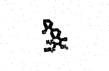 CCOC(=O)C(C)C(C)C(=O)c1ccc(-c2ccccc2Cl)cc1